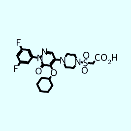 O=C(O)CS(=O)(=O)N1CCN(c2cnn(-c3cc(F)cc(F)c3)c(=O)c2OC2CCCCC2)CC1